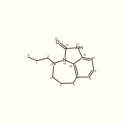 CCCN1CCCc2cccc3[nH]c(=O)n1c23